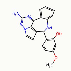 COc1ccc(C2Nc3ccccc3-c3nc(N)nn4ccc2c34)c(O)c1